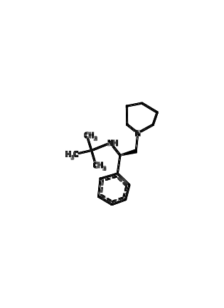 CC(C)(C)N[C@@H](CN1CCCCC1)c1ccccc1